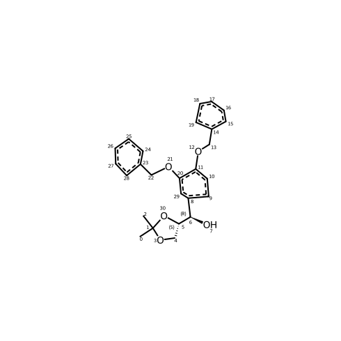 CC1(C)OC[C@@H]([C@H](O)c2ccc(OCc3ccccc3)c(OCc3ccccc3)c2)O1